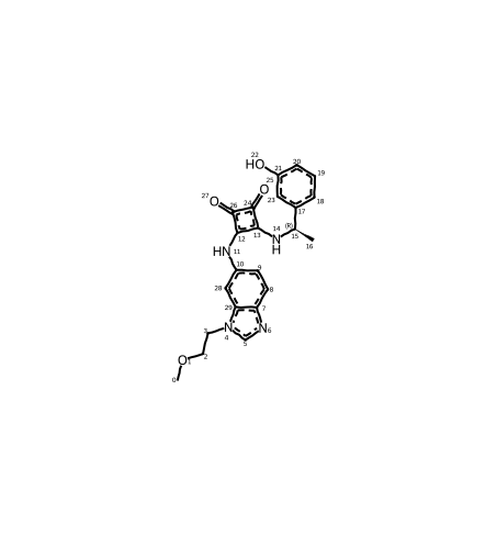 COCCn1cnc2ccc(Nc3c(N[C@H](C)c4cccc(O)c4)c(=O)c3=O)cc21